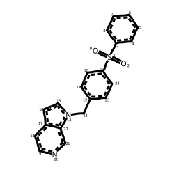 O=S(=O)(c1ccccc1)c1ccc(Cn2ccc3ccncc32)cc1